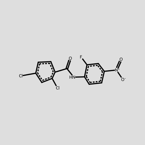 O=C(Nc1ccc([N+](=O)[O-])cc1F)c1ccc(Cl)cc1Cl